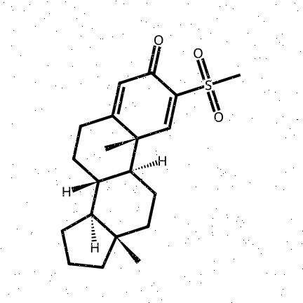 C[C@@]12CCC[C@H]1[C@@H]1CCC3=CC(=O)C(S(C)(=O)=O)=C[C@]3(C)[C@H]1CC2